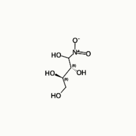 O=[N+]([O-])C(O)[C@H](O)[C@H](O)CO